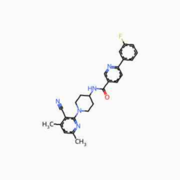 Cc1cc(C)c(C#N)c(N2CCC(NC(=O)c3ccc(-c4cccc(F)c4)nc3)CC2)n1